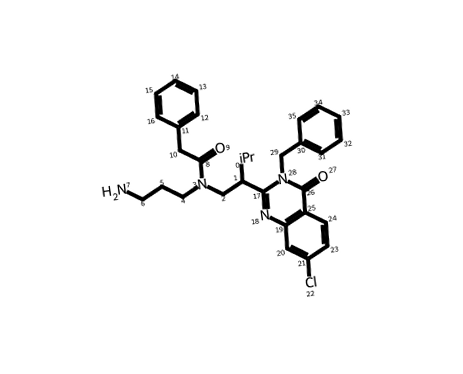 CC(C)C(CN(CCCN)C(=O)Cc1ccccc1)c1nc2cc(Cl)ccc2c(=O)n1Cc1ccccc1